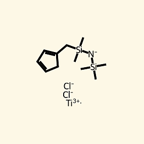 C[Si](C)(C)[N-][Si](C)(C)CC1=CC=CC1.[Cl-].[Cl-].[Ti+3]